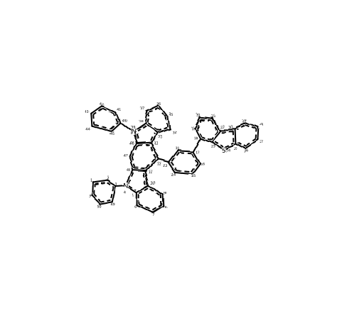 c1ccc(-n2c3ccccc3c3c(-c4cccc(-c5cccc6c5sc5ccccc56)c4)c4c5ccccc5n(-c5ccccc5)c4cc32)cc1